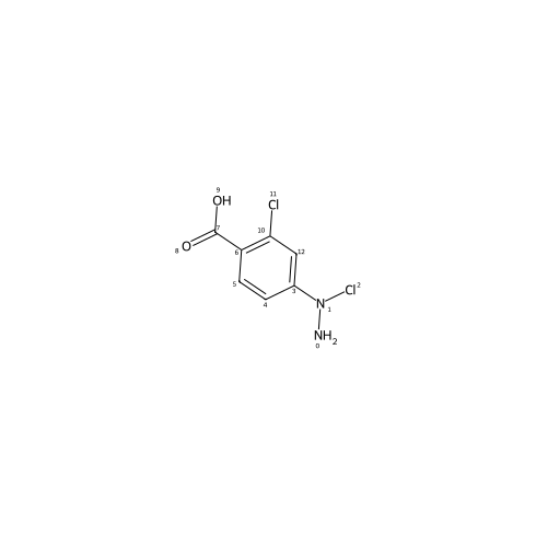 NN(Cl)c1ccc(C(=O)O)c(Cl)c1